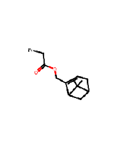 CC(C)CC(=O)OCC1=CCC2CC1C2(C)C